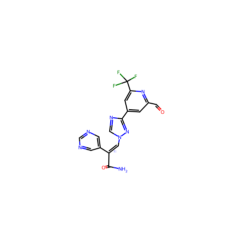 NC(=O)/C(=C/n1cnc(-c2cc(C=O)nc(C(F)(F)F)c2)n1)c1cncnc1